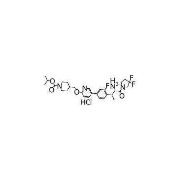 CC(C)OC(=O)N1CCC(COc2ccc(-c3ccc([C@H](C)[C@H](N)C(=O)N4CCC(F)(F)C4)c(F)c3)cn2)CC1.Cl